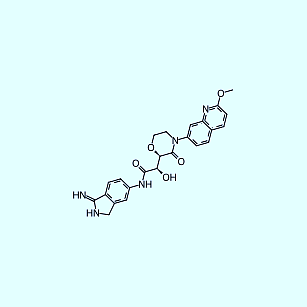 COc1ccc2ccc(N3CCO[C@H]([C@@H](O)C(=O)Nc4ccc5c(c4)CNC5=N)C3=O)cc2n1